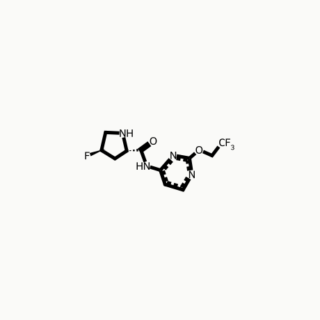 O=C(Nc1ccnc(OCC(F)(F)F)n1)[C@@H]1C[C@@H](F)CN1